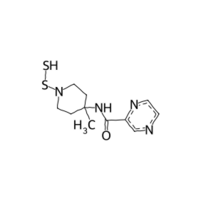 CC1(NC(=O)c2cnccn2)CCN(SS)CC1